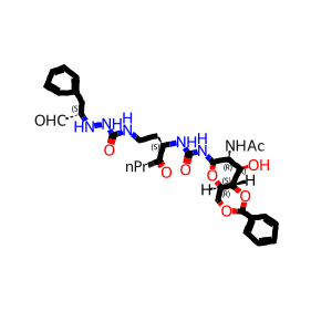 CCCC(=O)[C@H](CCNC(=O)NN[C@H](C=O)Cc1ccccc1)NC(=O)NC1O[C@@H]2COC(c3ccccc3)O[C@H]2[C@H](O)[C@H]1NC(C)=O